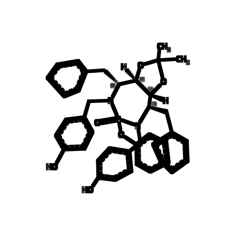 CC1(C)O[C@H]2[C@H](O1)[C@@H](Cc1ccccc1)N(Cc1ccc(O)cc1)P(=O)(Oc1ccccc1)N(Cc1ccc(O)cc1)[C@@H]2Cc1ccccc1